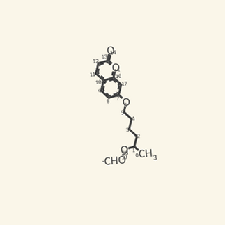 CC(CCCCOc1ccc2ccc(=O)oc2c1)O[C]=O